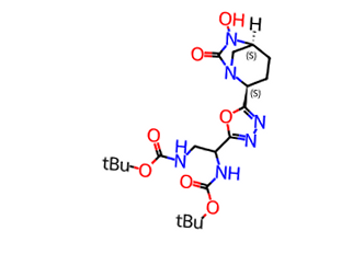 CC(C)(C)OC(=O)NCC(NC(=O)OC(C)(C)C)c1nnc([C@@H]2CC[C@H]3CN2C(=O)N3O)o1